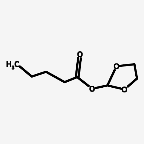 CCCCC(=O)OC1OCCO1